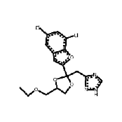 CCOCC1COC(Cc2nc[nH]n2)(c2cc3cc(Cl)cc(Cl)c3o2)O1